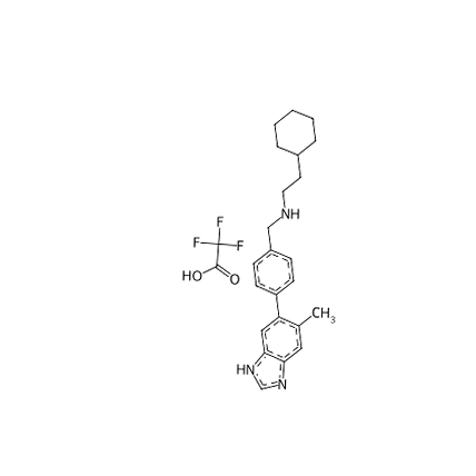 Cc1cc2nc[nH]c2cc1-c1ccc(CNCCC2CCCCC2)cc1.O=C(O)C(F)(F)F